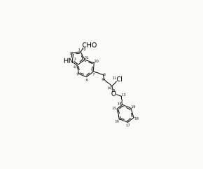 O=Cc1c[nH]c2ccc(CCC(Cl)OCc3ccccc3)cc12